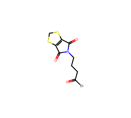 CCC(=O)CCCN1C(=O)C2=C(SCS2)C1=O